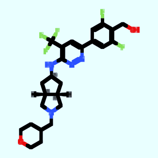 OCc1c(F)cc(-c2cc(C(F)(F)F)c(N[C@H]3C[C@@H]4CN(CC5CCOCC5)C[C@@H]4C3)nn2)cc1F